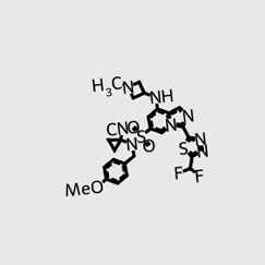 COc1ccc(CN(C2(C#N)CC2)S(=O)(=O)c2cc(NC3CN(C)C3)c3cnc(-c4nnc(C(F)F)s4)n3c2)cc1